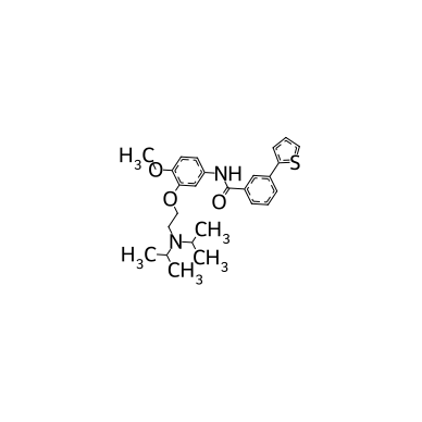 COc1ccc(NC(=O)c2cccc(-c3cccs3)c2)cc1OCCN(C(C)C)C(C)C